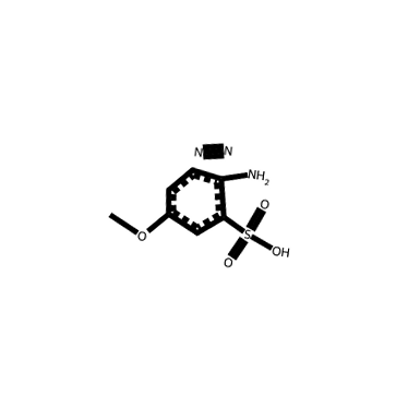 COc1ccc(N)c(S(=O)(=O)O)c1.N#N